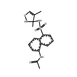 CC(=O)Nc1cccc2c(S(=O)(=O)NC3(C)NOC=C3C)cccc12